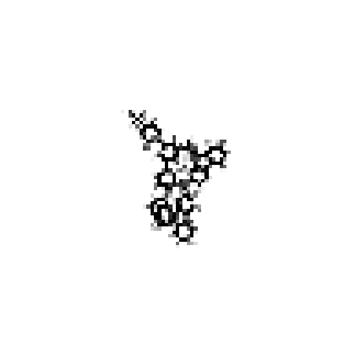 CC(C)c1cc(-c2ccc(C(C)(C)C)cc2)cc2c1oc1c(N(c3ccc4c(c3)C(C)(C)c3ccccc3-4)c3ccc4c(c3)C3(c5ccccc5-4)C4CC5CC(C4)CC3C5)cccc12